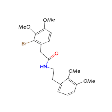 COc1cccc(CCNC(=O)Cc2ccc(OC)c(OC)c2Br)c1OC